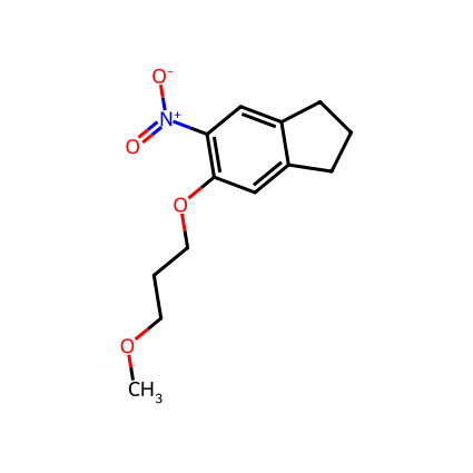 COCCCOc1cc2c(cc1[N+](=O)[O-])CCC2